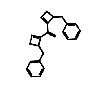 C=C(C1=CCC1Cc1ccccc1)C1=CCC1Cc1ccccc1